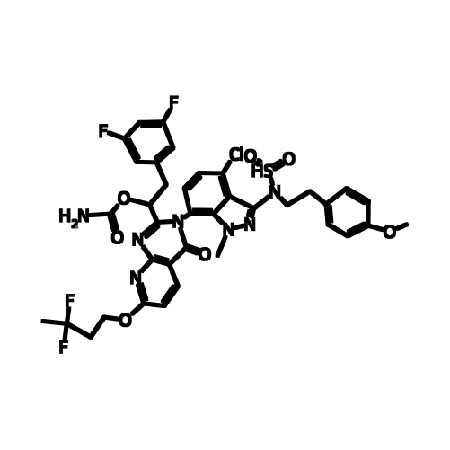 COc1ccc(CCN(c2nn(C)c3c(-n4c(C(Cc5cc(F)cc(F)c5)OC(N)=O)nc5nc(OCCC(C)(F)F)ccc5c4=O)ccc(Cl)c23)[SH](=O)=O)cc1